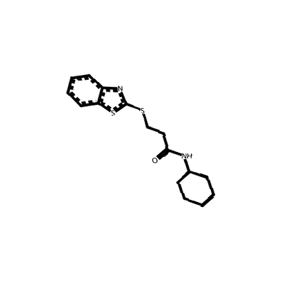 O=C(CCSc1nc2ccccc2s1)NC1CCCCC1